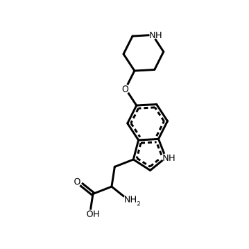 NC(Cc1c[nH]c2ccc(OC3CCNCC3)cc12)C(=O)O